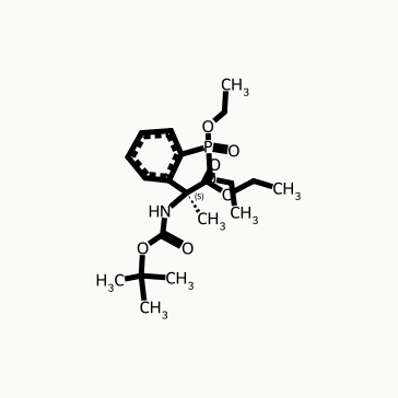 CCOC(=O)[C@@](C)(NC(=O)OC(C)(C)C)c1ccccc1P(=O)(OCC)OCC